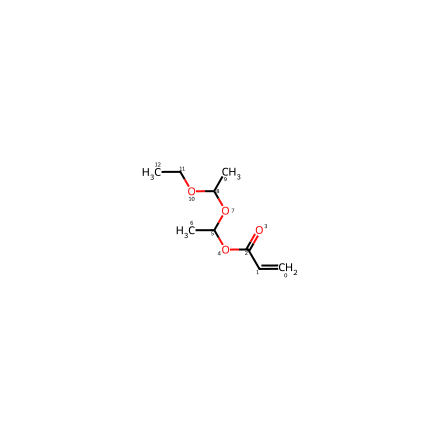 C=CC(=O)OC(C)OC(C)OCC